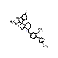 COC(=O)C1(c2ccc(F)cc2O)ON=C2/C(=C/c3ccc(-n4cnc(C)c4)c(OC)c3)CCCN21